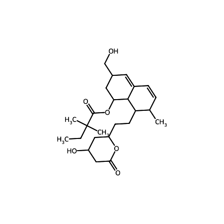 CCC(C)(C)C(=O)OC1CC(CO)C=C2C=CC(C)C(CCC3CC(O)CC(=O)O3)C21